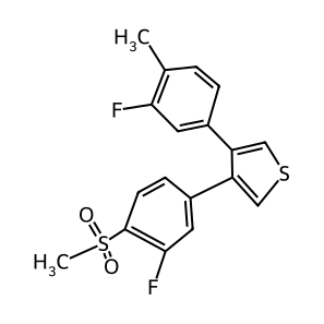 Cc1ccc(-c2cscc2-c2ccc(S(C)(=O)=O)c(F)c2)cc1F